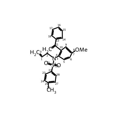 C=CCN(c1ccc(OC)cc1C(=C)c1ccccc1)S(=O)(=O)c1ccc(C)cc1